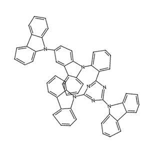 c1ccc(-n2c3ccccc3c3cc(-n4c5ccccc5c5ccccc54)ccc32)c(-c2nc(-n3c4ccccc4c4ccccc43)nc(-n3c4ccccc4c4ccccc43)n2)c1